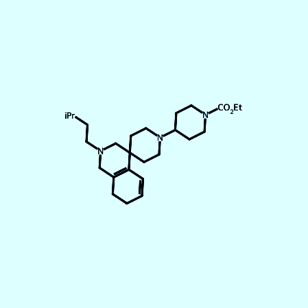 CCOC(=O)N1CCC(N2CCC3(CC2)CN(CCC(C)C)CC2=C3C=CCC2)CC1